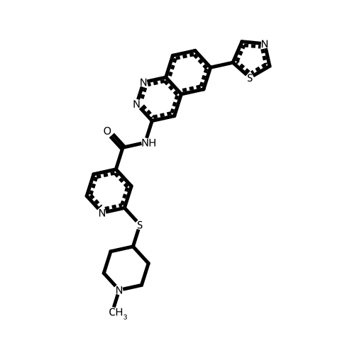 CN1CCC(Sc2cc(C(=O)Nc3cc4cc(-c5cncs5)ccc4nn3)ccn2)CC1